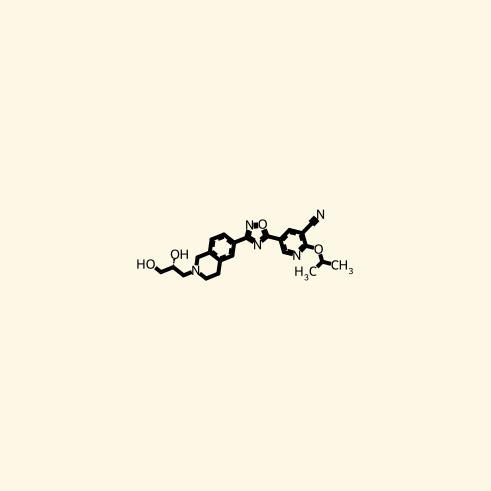 CC(C)Oc1ncc(-c2nc(-c3ccc4c(c3)CCN(C[C@@H](O)CO)C4)no2)cc1C#N